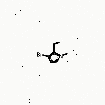 CCc1c(Br)ccn1C